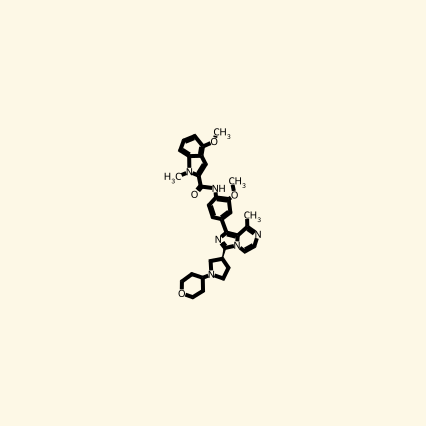 COc1cc(-c2nc([C@H]3CCN(C4CCOCC4)C3)n3ccnc(C)c23)ccc1NC(=O)c1cc2c(OC)cccc2n1C